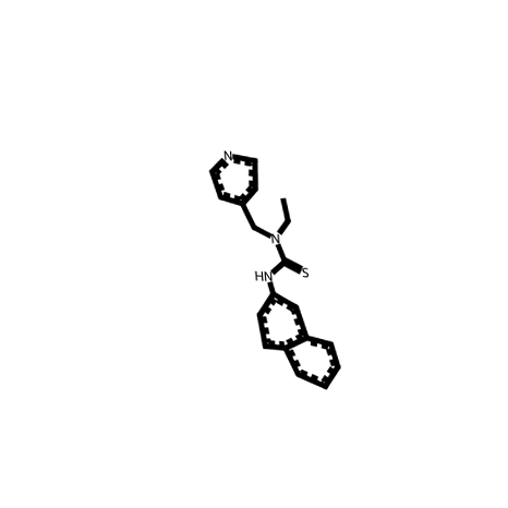 CCN(Cc1ccncc1)C(=S)Nc1ccc2ccccc2c1